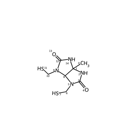 CC12NC(=O)N(CS)C1N(CS)C(=O)N2